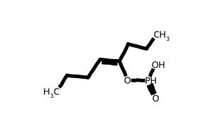 CCCC=C(CCC)O[PH](=O)O